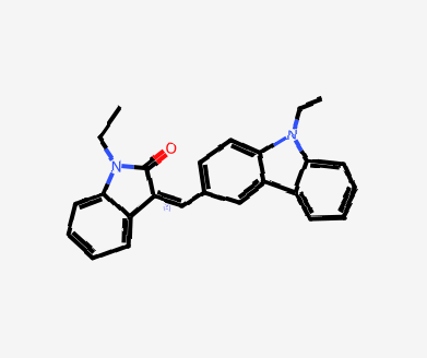 CCN1C(=O)/C(=C\c2ccc3c(c2)c2ccccc2n3CC)c2ccccc21